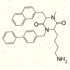 CN1C(=O)C(CCCCN)N(Cc2ccc(-c3ccccc3)cc2)C(=O)C1Cc1ccc2ccccc2c1